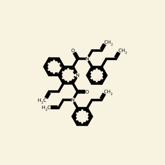 C=CCc1ccccc1N(CC=C)C(=O)c1nc(C(=O)N(CC=C)c2ccccc2CC=C)c2ccccc2c1CC=C